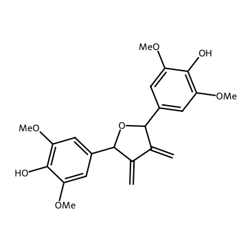 C=C1C(=C)C(c2cc(OC)c(O)c(OC)c2)OC1c1cc(OC)c(O)c(OC)c1